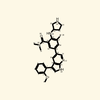 COc1ccccc1-c1c[nH]c2ncc(-c3cc(F)c(NC4CCNC4)c(C(=O)N(C)C)c3)cc12